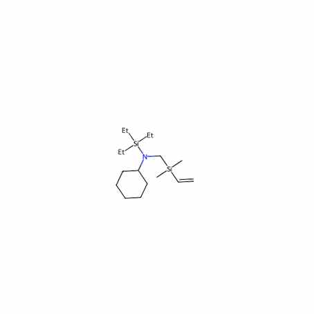 C=C[Si](C)(C)CN(C1CCCCC1)[Si](CC)(CC)CC